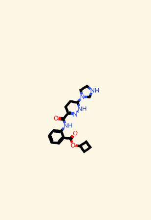 O=C(Nc1ccccc1C(=O)OC1CCC1)C1=NNC(N2CCNC2)CC1